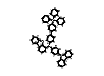 c1ccc([Si](c2ccccc2)(c2ccccc2)c2ccc(-c3ccc(N(c4ccc(-n5c6ccccc6c6ccccc65)cc4)c4cccc5c4oc4ccccc45)cc3)cc2)cc1